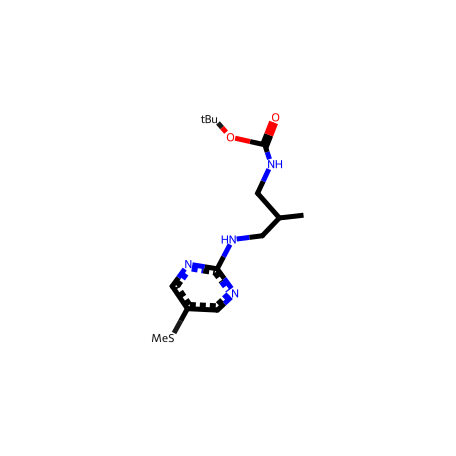 CSc1cnc(NCC(C)CNC(=O)OC(C)(C)C)nc1